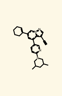 C#Cc1cnn2cc(C3=CCCCC3)cc(-c3ccc(N4CC(C)CC(C)C4)nc3)c12